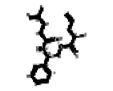 C=CC[C@@H](C)C(=O)OC[C@H](NC(=O)CCC(=C)C)c1ccccc1